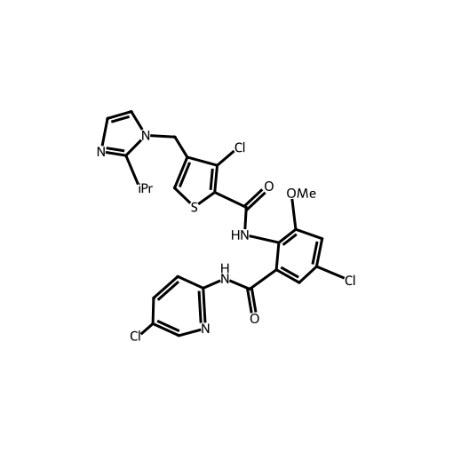 COc1cc(Cl)cc(C(=O)Nc2ccc(Cl)cn2)c1NC(=O)c1scc(Cn2ccnc2C(C)C)c1Cl